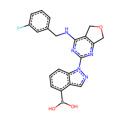 OB(O)c1cccc2c1cnn2-c1nc2c(c(NCc3cccc(F)c3)n1)COC2